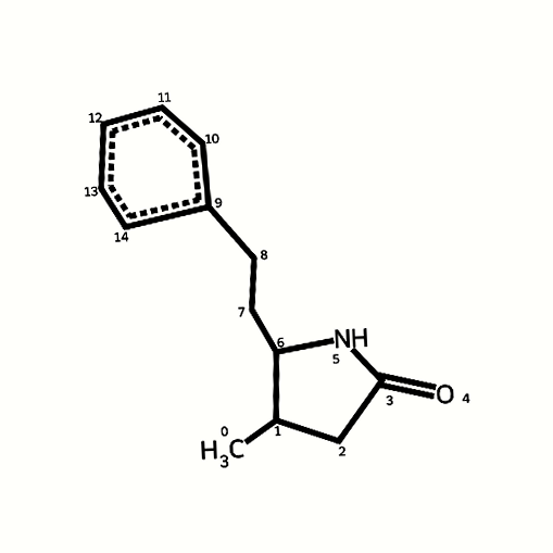 CC1CC(=O)NC1CCc1ccccc1